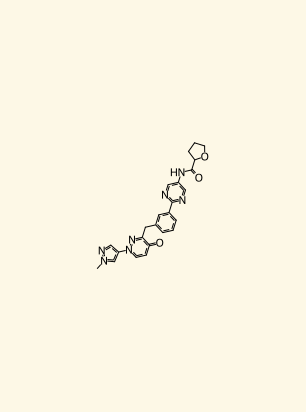 Cn1cc(-n2ccc(=O)c(Cc3cccc(-c4ncc(NC(=O)C5CCCO5)cn4)c3)n2)cn1